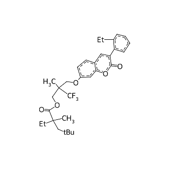 CCc1ccccc1-c1cc2ccc(OCC(C)(COC(=O)C(C)(CC)CC(C)(C)C)C(F)(F)F)cc2oc1=O